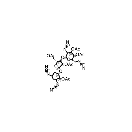 CC(=O)OC[C@H]1O[C@@H](O[C@H]2CC(N=[N+]=[N-])CC(N=[N+]=[N-])[C@@H]2OC(C)=O)[C@H](OC(C)=O)[C@@H]1O[C@H]1O[C@@H](CN=[N+]=[N-])[C@@H](OC(C)=O)[C@H](OC(C)=O)C1N=[N+]=[N-]